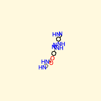 O=C(COc1ccc(-c2nnc(Nc3ccc4[nH]ncc4c3)[nH]2)cc1)N[C@H]1CCNC1